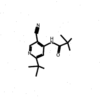 CC(C)(C)C(=O)Nc1cc(C(C)(C)C)ncc1C#N